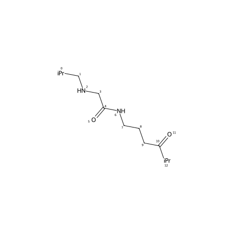 CC(C)CNCC(=O)NCCCC(=O)C(C)C